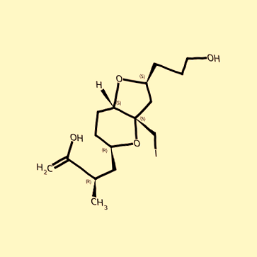 C=C(O)[C@H](C)C[C@H]1CC[C@@H]2O[C@@H](CCCO)C[C@]2(CI)O1